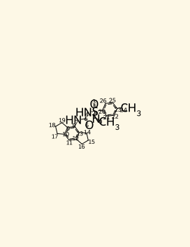 CN=S(=O)(NC(=O)Nc1c2c(cc3c1CCC3)CCC2)c1ccc(C)cc1